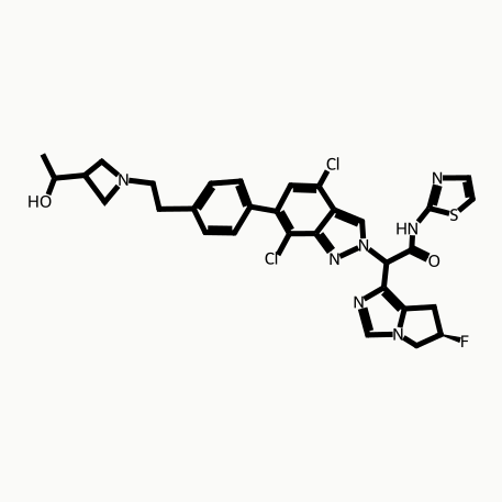 CC(O)C1CN(CCc2ccc(-c3cc(Cl)c4cn(C(C(=O)Nc5nccs5)c5ncn6c5C[C@@H](F)C6)nc4c3Cl)cc2)C1